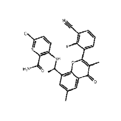 Cc1cc([C@@H](C)Nc2ccc(Cl)nc2C(N)=O)c2oc(-c3cccc(C#N)c3F)c(C)c(=O)c2c1